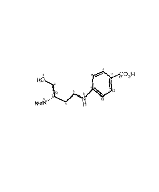 CN[C@H](CO)CCNc1ccc(C(=O)O)cc1